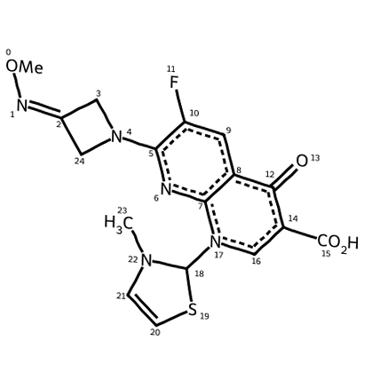 CON=C1CN(c2nc3c(cc2F)c(=O)c(C(=O)O)cn3C2SC=CN2C)C1